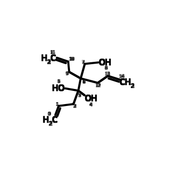 C=CCC(O)(O)C(CO)(CC=C)CC=C